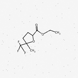 CCOC(=O)C1CCC(C)(C(F)(F)F)O1